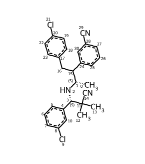 C[C@H](N[C@@H](c1cccc(Cl)c1)C(C)(C)C#N)C(Cc1ccc(Cl)cc1)c1cccc(C#N)c1